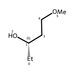 CC[C@H](O)CCOC